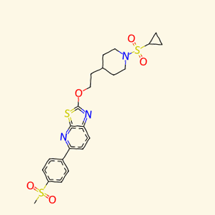 CS(=O)(=O)c1ccc(-c2ccc3nc(OCCC4CCN(S(=O)(=O)C5CC5)CC4)sc3n2)cc1